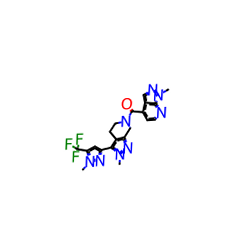 Cn1nc(-c2c3c(nn2C)CN(C(=O)c2ccnc4c2cnn4C)CC3)cc1C(F)(F)F